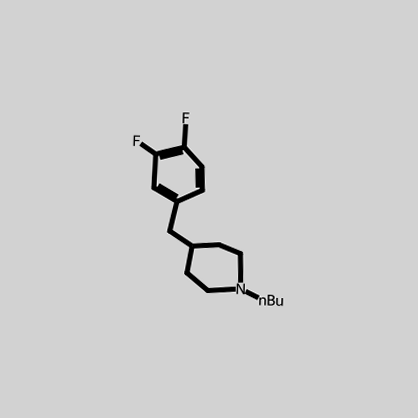 CCCCN1CCC(Cc2ccc(F)c(F)c2)CC1